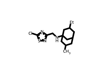 CCC1CC2CC(C)CC(NCc3nsc(Cl)n3)(C1)C2